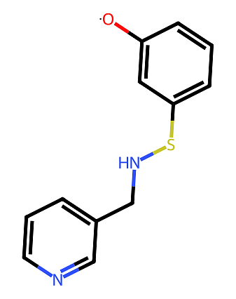 [O]c1cccc(SNCc2cccnc2)c1